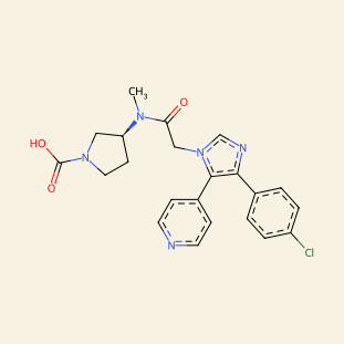 CN(C(=O)Cn1cnc(-c2ccc(Cl)cc2)c1-c1ccncc1)[C@H]1CCN(C(=O)O)C1